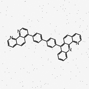 c1cnc2c(c1)ccc1c(-c3ccc(-c4ccc(-c5c6ccccc6nc6c5ccc5cccnc56)cc4)cc3)ccnc12